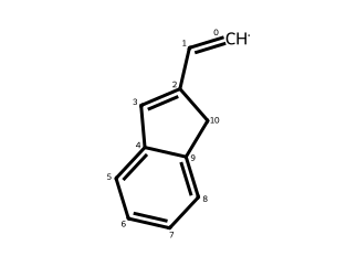 [CH]=CC1=Cc2ccccc2C1